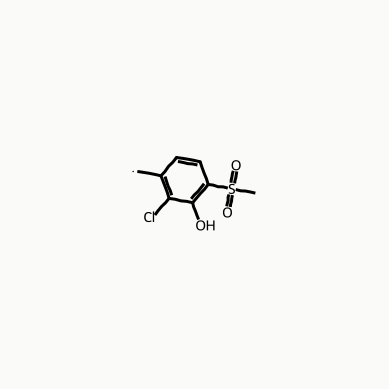 [CH2]c1ccc(S(C)(=O)=O)c(O)c1Cl